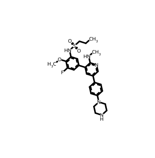 CCCS(=O)(=O)Nc1cc(-c2cc(-c3ccc(N4CCNCC4)cc3)cnc2NC)cc(F)c1OC